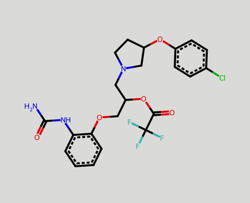 NC(=O)Nc1ccccc1OCC(CN1CCC(Oc2ccc(Cl)cc2)C1)OC(=O)C(F)(F)F